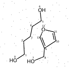 OCCCCCO.OCc1ccoc1